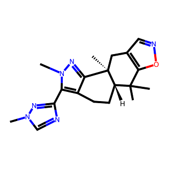 Cn1cnc(-c2c3c(nn2C)[C@@]2(C)Cc4cnoc4C(C)(C)[C@@H]2CC3)n1